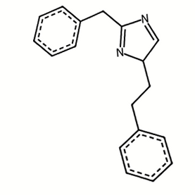 C1=NC(Cc2ccccc2)=NC1CCc1ccccc1